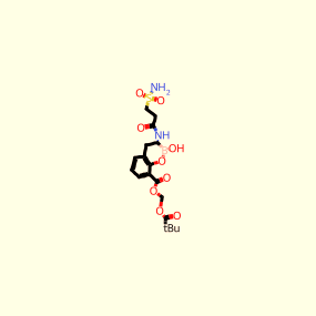 CC(C)(C)C(=O)OCOC(=O)c1cccc2c1OB(O)[C@@H](NC(=O)CCS(N)(=O)=O)C2